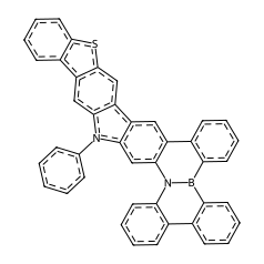 c1ccc(-n2c3cc4c(cc3c3cc5sc6ccccc6c5cc32)-c2ccccc2B2c3ccccc3-c3ccccc3N24)cc1